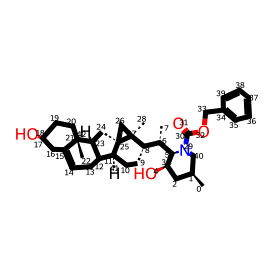 C[C@H]1C[C@@H](O)[C@H]([C@@H](C)[C@@H]2CC[C@H]3C4CC=C5C[C@@H](O)CC[C@]5(C)[C@H]4C[C@@]34C[C@@]24C)N(C(=O)OCc2ccccc2)C1